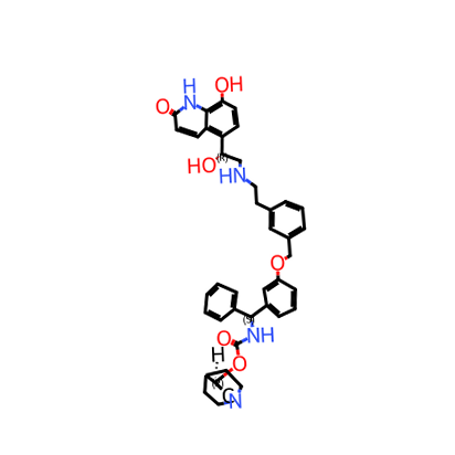 O=C(N[C@@H](c1ccccc1)c1cccc(OCc2cccc(CCNC[C@H](O)c3ccc(O)c4[nH]c(=O)ccc34)c2)c1)O[C@H]1CN2CCC1CC2